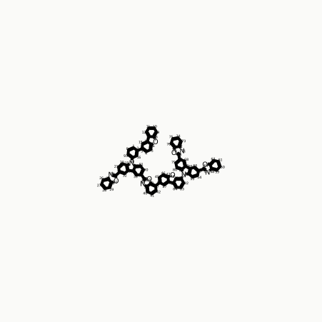 c1cc(-c2ccc3oc4ccccc4c3c2)cc(-n2c3ccc(-c4nc5ccccc5o4)cc3c3cc(-c4nc5cccc(-c6ccc7oc8c(-n9c%10ccc(-c%11nc%12ccccc%12o%11)cc%10c%10cc(-c%11nc%12ccccc%12o%11)ccc%109)cccc8c7c6)c5o4)ccc32)c1